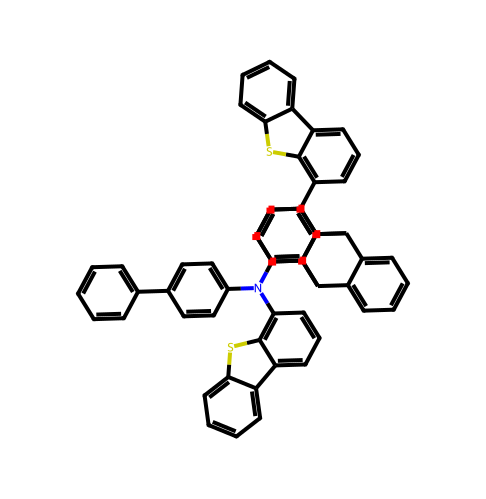 c1ccc(-c2ccc(N(c3ccc(-c4cccc5c4sc4ccccc45)c4c3C3c5ccccc5C4c4ccccc43)c3cccc4c3sc3ccccc34)cc2)cc1